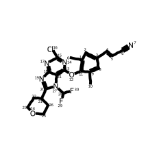 Cc1cc(/C=C/C#N)cc(C)c1Oc1nc(Cl)nc2nc(C3CCOCC3)n(C(F)F)c12